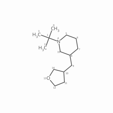 CC(C)(C)N1CCCC(CC2CCOC2)C1